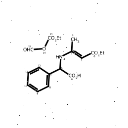 CCOC(=O)C=C(C)NC(C(=O)O)c1ccccc1.CCOC(=O)OC=O